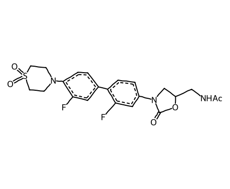 CC(=O)NCC1CN(c2ccc(-c3ccc(N4CCS(=O)(=O)CC4)c(F)c3)c(F)c2)C(=O)O1